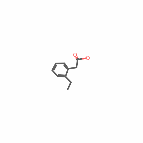 CCc1ccccc1CC([O])=O